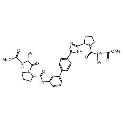 COC(=O)NC(C(=O)N1CCCC1C(=O)Nc1cccc(-c2ccc(-c3cnc(C4CCCN4C(=O)C(NC(=O)OC)C(C)C)[nH]3)cc2)c1)C(C)C